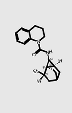 CC[C@H]1CC2CC[C@]13[C@H](C2)[C@@H]3NC(=O)N1CCCc2ccccc21